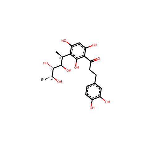 CC(C)[C@@H](O)[C@H](O)C(O)[C@@H](C)c1c(O)cc(O)c(C(=O)CCc2ccc(O)c(O)c2)c1O